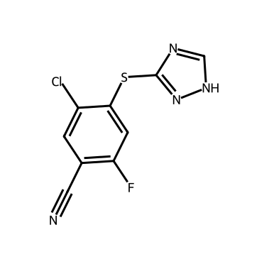 N#Cc1cc(Cl)c(Sc2nc[nH]n2)cc1F